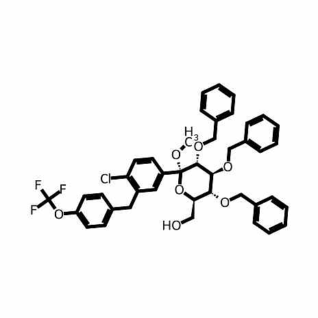 CO[C@@]1(c2ccc(Cl)c(Cc3ccc(OC(F)(F)F)cc3)c2)O[C@H](CO)[C@@H](OCc2ccccc2)[C@H](OCc2ccccc2)[C@H]1OCc1ccccc1